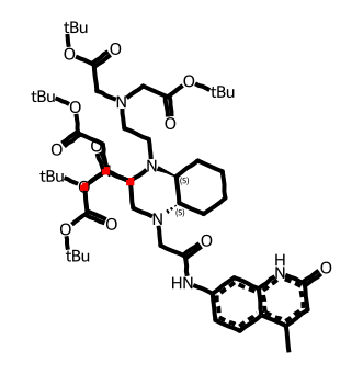 Cc1cc(=O)[nH]c2cc(NC(=O)CN(CCN(CC(=O)OC(C)(C)C)CC(=O)OC(C)(C)C)[C@H]3CCCC[C@@H]3N(CCN(CC(=O)OC(C)(C)C)CC(=O)OC(C)(C)C)CC(=O)OC(C)(C)C)ccc12